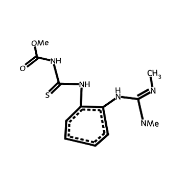 C/N=C(/NC)Nc1ccccc1NC(=S)NC(=O)OC